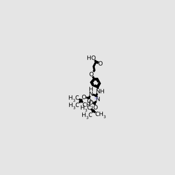 CC(C)(C)OC(=O)/N=C(\NC(=O)OC(C)(C)C)Nc1ccc(OCCC(=O)O)cc1